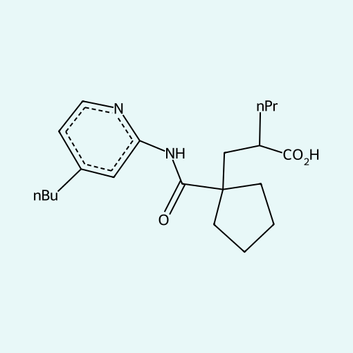 CCCCc1ccnc(NC(=O)C2(CC(CCC)C(=O)O)CCCC2)c1